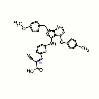 COc1ccc(Cn2nc(Nc3cccc(/C=C(\C#N)C(=O)O)c3)c3c(Oc4ccc(C)cc4)ccnc32)cc1